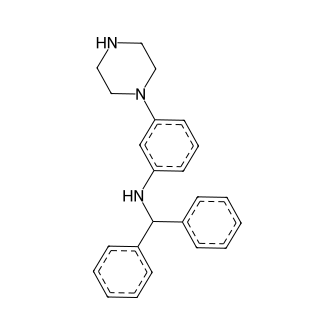 c1ccc(C(Nc2cccc(N3CCNCC3)c2)c2ccccc2)cc1